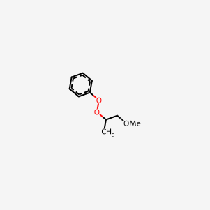 COCC(C)OOc1ccccc1